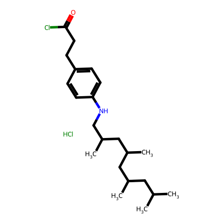 CC(C)CC(C)CC(C)CC(C)CNc1ccc(CCC(=O)Cl)cc1.Cl